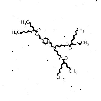 CCCCCCC(CCCC)C(=O)OCCCCN(CCCCOC(=O)C(CCCC)CCCCCC)CCN1CCN(CCOC(=O)C(CCCC)CCCCCC)CC1